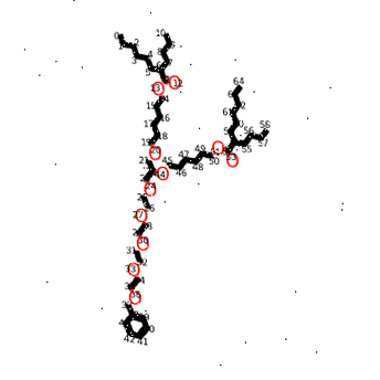 CCCCCCC(CCCC)C(=O)OCCCCCCOCC(COCCOCCOCCOCCOCc1ccccc1)OCCCCCCOC(=O)C(CCCC)CCCCCC